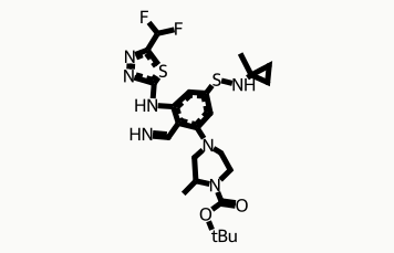 CC1CN(c2cc(SNC3(C)CC3)cc(Nc3nnc(C(F)F)s3)c2C=N)CCN1C(=O)OC(C)(C)C